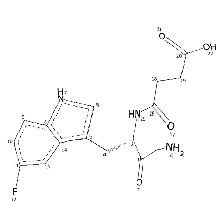 NC(=O)[C@H](Cc1c[nH]c2ccc(F)cc12)NC(=O)CCC(=O)O